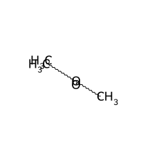 CCCCCCCCCCCCCCCC(=O)OCCCCCCCCCCCCCCCCCC(C)CC